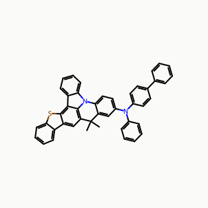 CC1(C)c2cc(N(c3ccccc3)c3ccc(-c4ccccc4)cc3)ccc2-n2c3ccccc3c3c4sc5ccccc5c4cc1c32